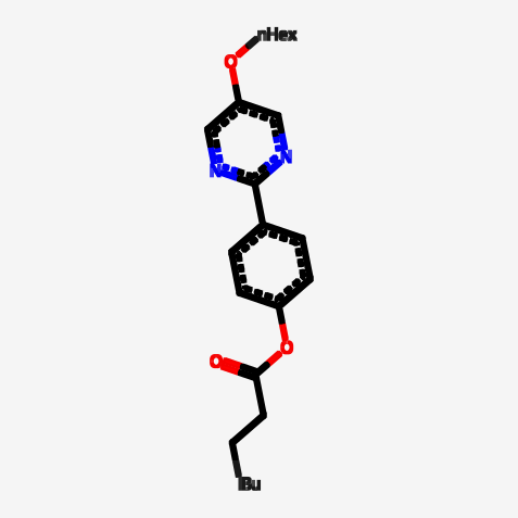 CCCCCCOc1cnc(-c2ccc(OC(=O)CCC(C)CC)cc2)nc1